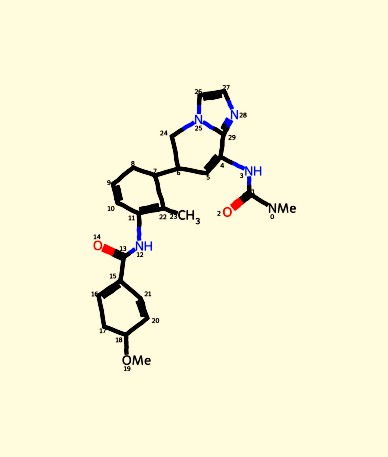 CNC(=O)NC1=CC(C2CC=CC(NC(=O)C3=CCC(OC)C=C3)=C2C)Cn2ccnc21